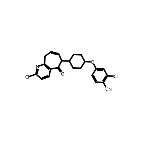 N#Cc1ccc(OC2CCC(C3C=CCc4nc(Cl)ccc4C3=O)CC2)cc1Cl